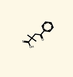 CC(C)(CC(=O)c1ccccc1)C(O)=S